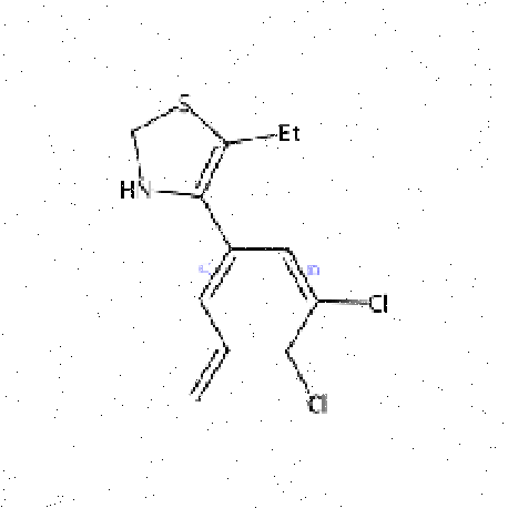 C=C/C=C(\C=C(\Cl)CCl)C1=C(CC)SCN1